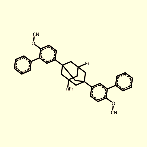 CCCC12CC3(CC)CC(c4ccc(OC#N)c(-c5ccccc5)c4)(C1)CC(c1ccc(OC#N)c(-c4ccccc4)c1)(C3)C2